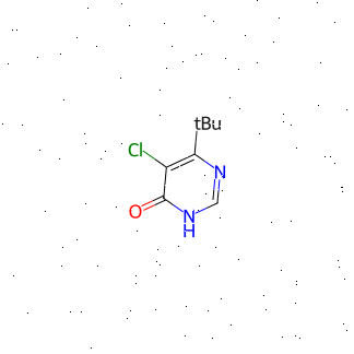 CC(C)(C)c1nc[nH]c(=O)c1Cl